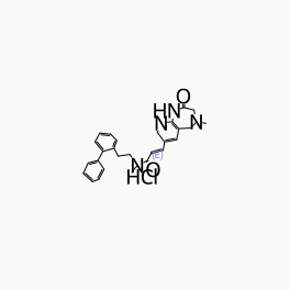 CN1CC(=O)Nc2ncc(/C=C/C(=O)N(C)CCc3ccccc3-c3ccccc3)cc2C1.Cl